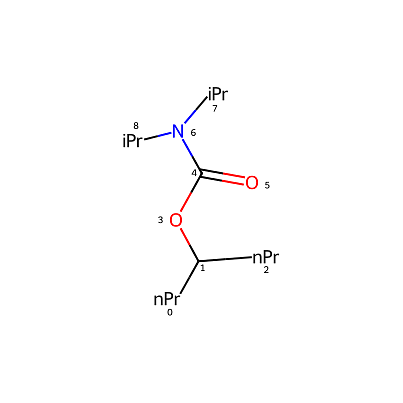 CCCC(CCC)OC(=O)N(C(C)C)C(C)C